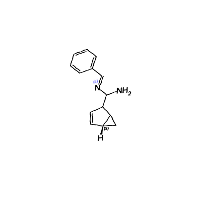 NC(/N=C/c1ccccc1)C1C=C[C@H]2CC12